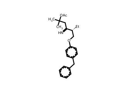 CC[C@H](COc1ccc(Cc2ccccc2)cc1)C(=N)CC(C)(C)OC(C)=O